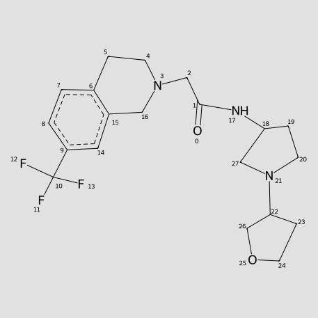 O=C(CN1CCc2ccc(C(F)(F)F)cc2C1)NC1CCN(C2CCOC2)C1